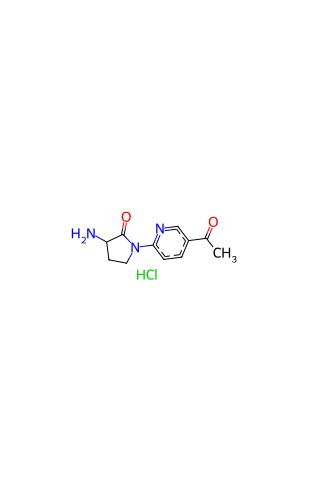 CC(=O)c1ccc(N2CCC(N)C2=O)nc1.Cl